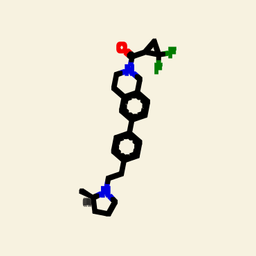 C[C@@H]1CCCN1CCc1ccc(-c2ccc3c(c2)CCN(C(=O)C2CC2(F)F)C3)cc1